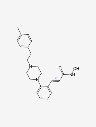 Cc1ccc(CCN2CCN(c3ccccc3/C=C/C(=O)NO)CC2)cc1